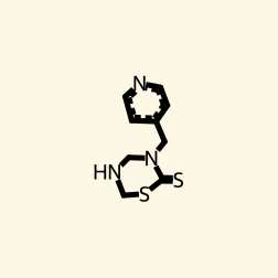 S=C1SCNCN1Cc1ccncc1